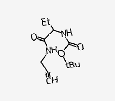 C#CCNC(=O)C(CC)NC(=O)OC(C)(C)C